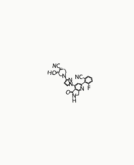 N#Cc1cccc(F)c1-c1cc(-n2ccc(N3CC[C@@H](C#N)[C@H](O)C3)n2)c2c(n1)CNC2=O